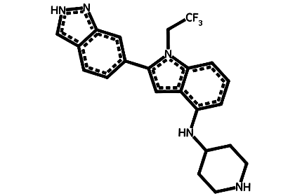 FC(F)(F)Cn1c(-c2ccc3c[nH]nc3c2)cc2c(NC3CCNCC3)cccc21